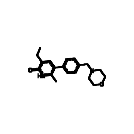 CCc1cc(-c2ccc(CN3CCOCC3)cc2)c(C)[nH]c1=O